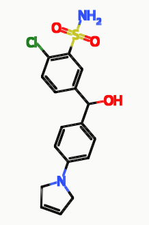 NS(=O)(=O)c1cc(C(O)c2ccc(N3CC=CC3)cc2)ccc1Cl